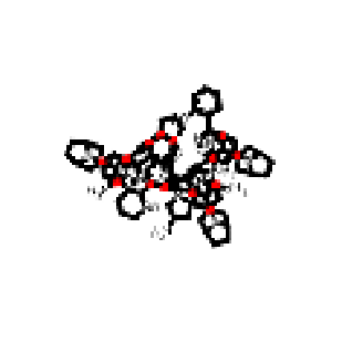 Nc1nnc(-c2ccccc2O)cc1N1CC2CCC(C1)N2c1ccnc(C#CC(Oc2ccccc2-c2cc(N3CC4CCC(C3)N4c3ccnc(C#CC4CCCN4Oc4ccccc4-c4cc(N5CC6CCC(C5)N6c5ccnc(C#CCC6CCCCN6)c5)c(N)nn4)c3)c(N)nn2)N2CCC(N)C2)c1